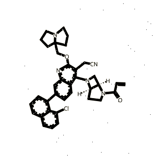 C=CC(=O)N1CC[C@@H]2[C@H]1CN2c1c(CC#N)c(OCC23CCCN2CCC3)nc2cc(-c3cccc4cccc(Cl)c34)ccc12